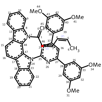 C=C(/C=C\C=C/C)n1c2ccccc2c2ccc3c4ccccc4n(-c4nc(-c5cc(OC)cc(OC)c5)cc(-c5cc(OC)cc(OC)c5)n4)c3c21